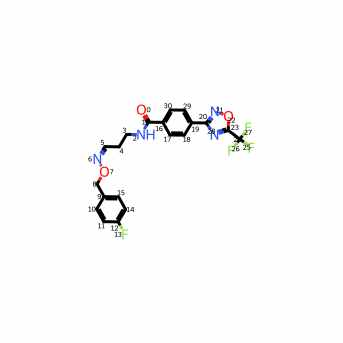 O=C(NCC/C=N\OCc1ccc(F)cc1)c1ccc(-c2noc(C(F)(F)F)n2)cc1